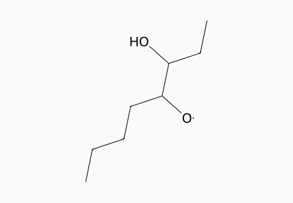 CCCCC([O])C(O)CC